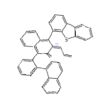 C=C/C=c1/c(-c2cccc3c2sc2ccccc23)c2ccccc2c(-c2ccccc2-c2cccc3ccccc23)c1=C